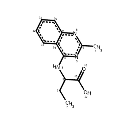 CCC(Nc1nc(C)nc2ccccc12)C(=O)O